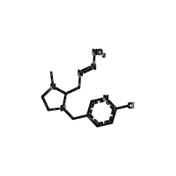 CN1CCN(Cc2ccc(Cl)nc2)C1CN=N[N+](=O)[O-]